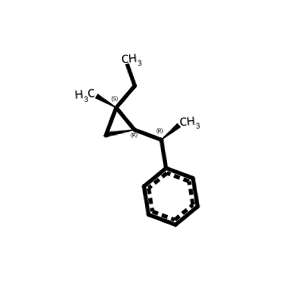 CC[C@@]1(C)C[C@@H]1[C@@H](C)c1ccccc1